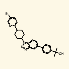 CCc1cnc(N2CCC(n3nnc4cc(-c5ccc(C(C)(C)O)cc5)ccc43)CC2)nc1